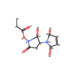 CCC(=O)ON1C(=O)CC(N2C(=O)C=CC2=O)C1=O